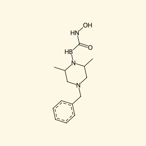 CC1CN(Cc2ccccc2)CC(C)N1BC(=O)NO